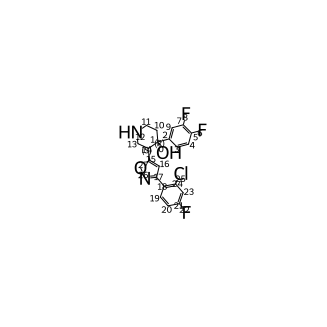 O[C@]1(c2ccc(F)c(F)c2)CCNC[C@@H]1c1cc(-c2ccc(F)cc2Cl)no1